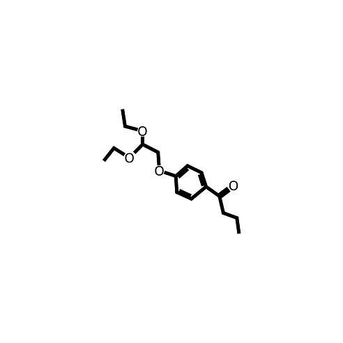 CCCC(=O)c1ccc(OCC(OCC)OCC)cc1